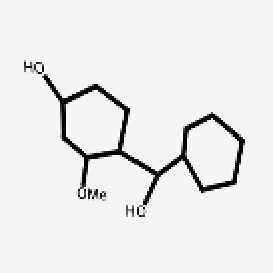 COC1CC(O)CCC1C(O)C1CCCCC1